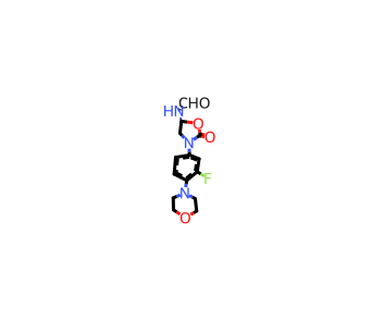 O=CN[C@H]1CN(c2ccc(N3CCOCC3)c(F)c2)C(=O)O1